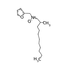 CCCCCCCCCC(C)C=[N+]([O-])Cc1ccco1